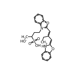 CCC(=Cc1oc2ccccc2[n+]1CCC(C)S(=O)(=O)O)C=C1Nc2ccccc2O1.[OH-]